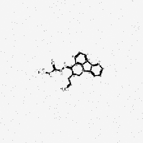 C=CCC1Cn2c3cccnc3c3cccc(c32)/C1=N/OC(=O)OC